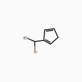 CCC(Br)C1=[C]CC=C1